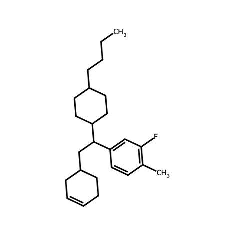 CCCCC1CCC(C(CC2CC=CCC2)c2ccc(C)c(F)c2)CC1